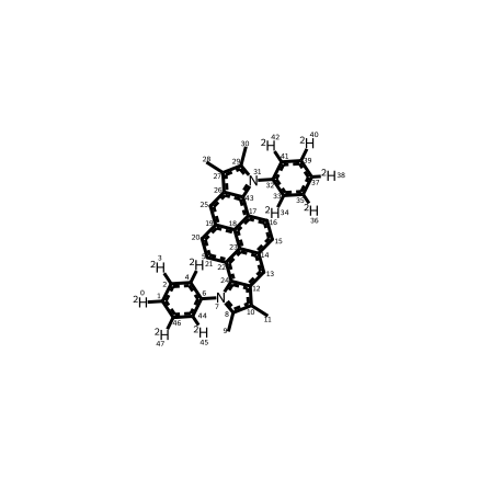 [2H]c1c([2H])c([2H])c(-n2c(C)c(C)c3cc4ccc5c6c(ccc(c46)c32)cc2c(C)c(C)n(-c3c([2H])c([2H])c([2H])c([2H])c3[2H])c25)c([2H])c1[2H]